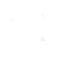 CC1(C)CN=C2C(=O)c3ccccc3N2C1